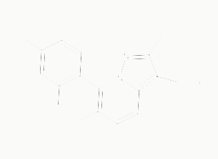 CCOC(=O)c1c(C)nn2c(-c3ccc(Cl)cc3Cl)c(C)ccc12